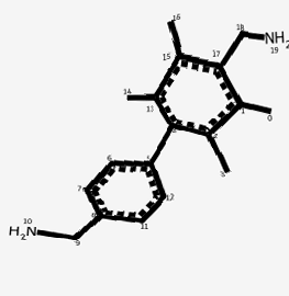 Cc1c(C)c(-c2ccc(CN)cc2)c(C)c(C)c1CN